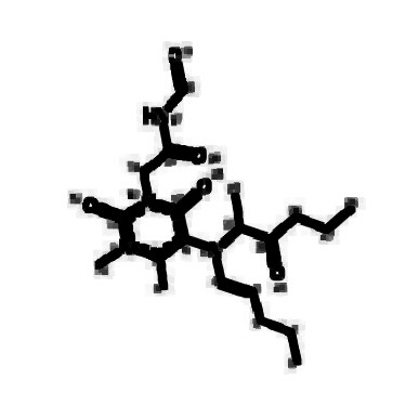 CCC/C=C/N(c1c(C)n(C)c(=O)n(CC(=O)NC=O)c1=O)C(C)C(=O)CCC